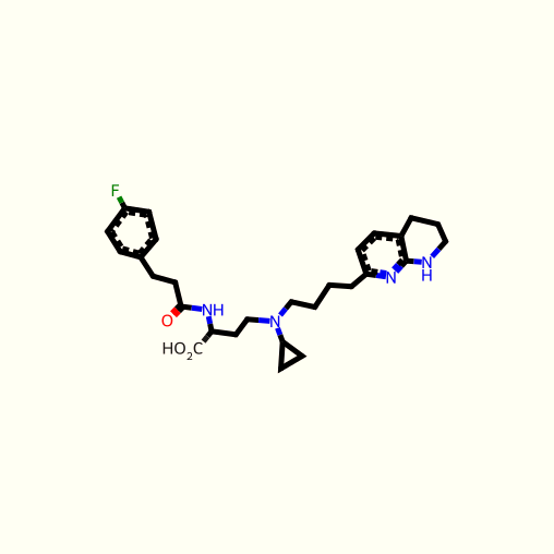 O=C(CCc1ccc(F)cc1)NC(CCN(CCCCc1ccc2c(n1)NCCC2)C1CC1)C(=O)O